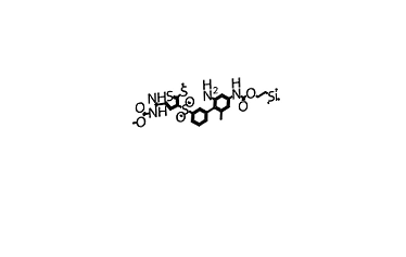 COC(=O)NC(=N)c1cc(S(=O)(=O)c2cccc(-c3c(C)cc(NC(=O)OCC[Si](C)(C)C)cc3N)c2)c(SC)s1